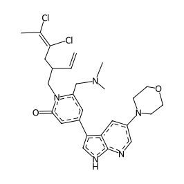 C=CC(C/C(Cl)=C(\C)Cl)Cn1c(CN(C)C)cc(-c2c[nH]c3ncc(N4CCOCC4)cc23)cc1=O